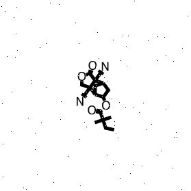 CCC(C)(C)C(=O)OC1CC2CC1C1(C#N)COC(=O)C21C#N